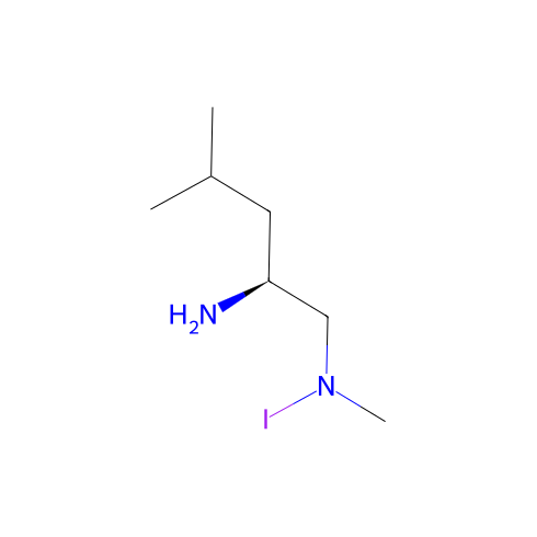 CC(C)C[C@H](N)CN(C)I